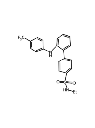 CCNS(=O)(=O)c1ccc(-c2ccccc2Nc2ccc(C(F)(F)F)cc2)cc1